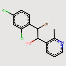 Cc1ncccc1C(O)C(Br)c1ccc(Cl)cc1Cl